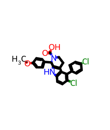 COc1ccc(C2c3[nH]c4ccc(Cl)c(-c5ccc(Cl)cc5)c4c3CCN2C(=O)O)cc1